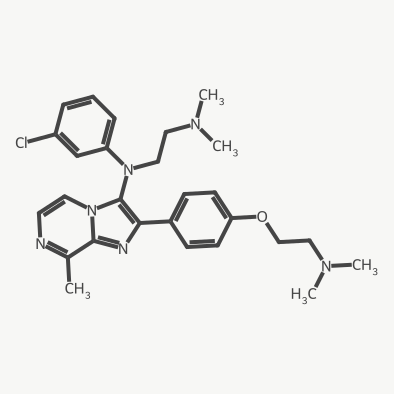 Cc1nccn2c(N(CCN(C)C)c3cccc(Cl)c3)c(-c3ccc(OCCN(C)C)cc3)nc12